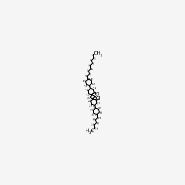 CCCCCCCCCCC1CCC(C2CCC3(CC2)CC2(CCC(C4CCC(CCCCCC)CC4)CC2)C3(Cl)Cl)CC1